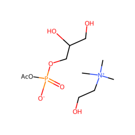 CC(=O)OP(=O)([O-])OCC(O)CO.C[N+](C)(C)CCO